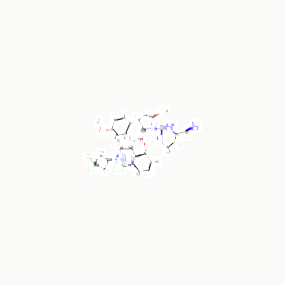 COc1cccc(N(C(=O)[C@@H]2CCC(=O)N2c2nccc(C#N)n2)C(C(=O)NC2CC(F)(F)C2)c2ccccc2Cl)c1